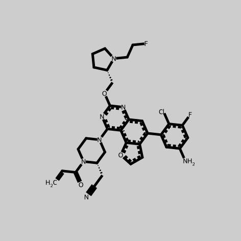 C=CC(=O)N1CCN(c2nc(OC[C@@H]3CCCN3CCF)nc3cc(-c4cc(N)cc(F)c4Cl)c4ccoc4c23)C[C@@H]1CC#N